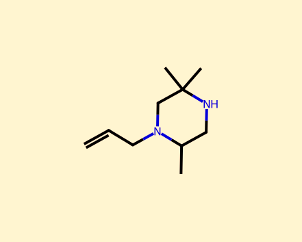 C=CCN1CC(C)(C)NCC1C